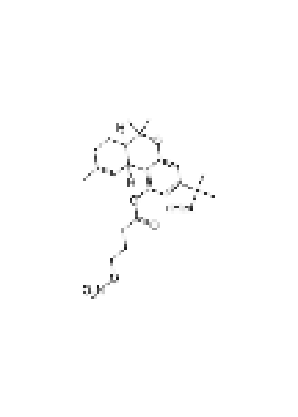 CCCCCCC(C)(C)c1cc(OC(=O)CCCO[N+](=O)[O-])c2c(c1)OC(C)(C)[C@@H]1CCC(C)=C[C@@H]21